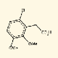 COc1ccc(Cl)c(CC(=O)O)c1OC